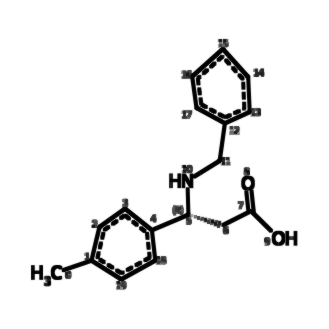 Cc1ccc([C@@H](CC(=O)O)NCc2ccccc2)cc1